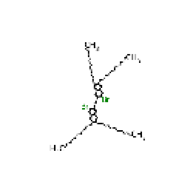 CCCCCCCCCCCCc1cc2cc(Br)c(C#Cc3cc4cc(CCCCCCCCCCCC)c(CCCCCCCCCCCC)cc4cc3Br)cc2cc1CCCCCCCCCCCC